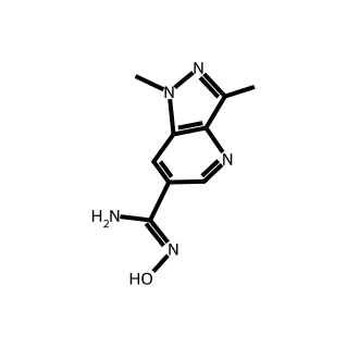 Cc1nn(C)c2cc(/C(N)=N/O)cnc12